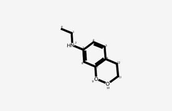 CCNc1ccc2c(c1)OOCC2